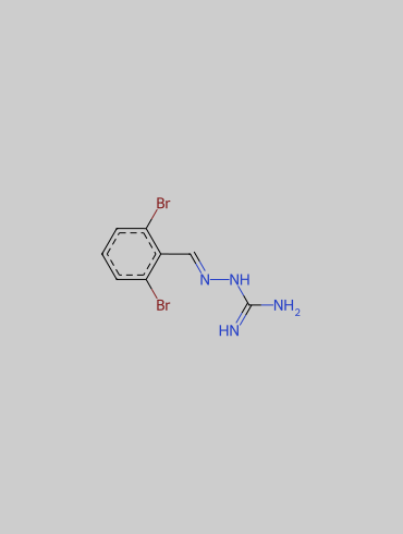 N=C(N)NN=Cc1c(Br)cccc1Br